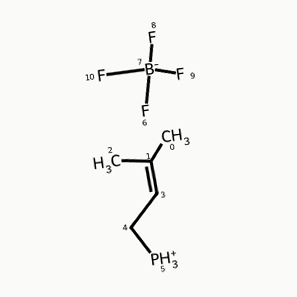 CC(C)=CC[PH3+].F[B-](F)(F)F